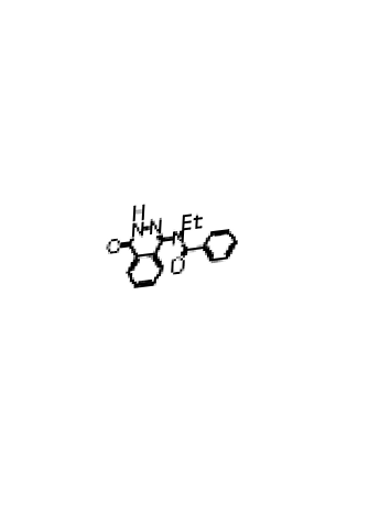 CCN(C(=O)c1ccccc1)c1n[nH]c(=O)c2ccccc12